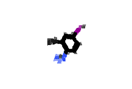 CC(C)c1cc(I)ccc1N